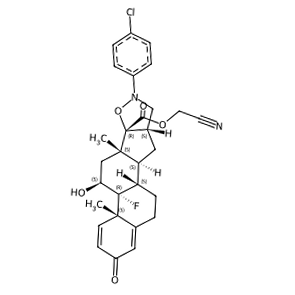 C[C@]12C=CC(=O)C=C1CC[C@H]1[C@@H]3C[C@H]4CN(c5ccc(Cl)cc5)O[C@@]4(C(=O)OCC#N)[C@@]3(C)C[C@H](O)[C@@]12F